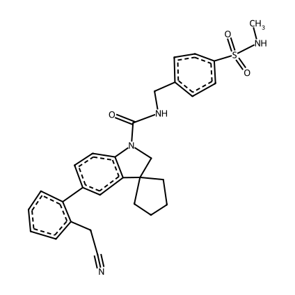 CNS(=O)(=O)c1ccc(CNC(=O)N2CC3(CCCC3)c3cc(-c4ccccc4CC#N)ccc32)cc1